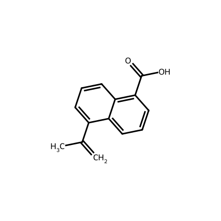 C=C(C)c1cccc2c(C(=O)O)cccc12